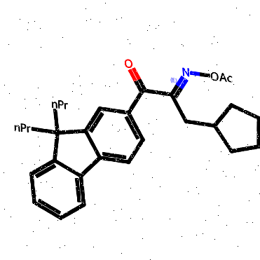 CCCC1(CCC)c2ccccc2-c2ccc(C(=O)/C(CC3CCCC3)=N/OC(C)=O)cc21